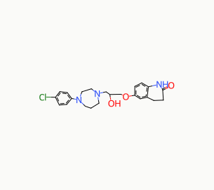 O=C1CCc2cc(OCC(O)CN3CCCN(c4ccc(Cl)cc4)CC3)ccc2N1